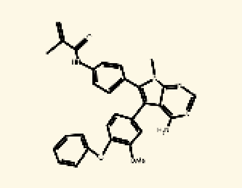 C=C(C)C(=O)Nc1ccc(-c2c(-c3ccc(Oc4ccccc4)c(OC)c3)c3c(N)ncnc3n2C)cc1